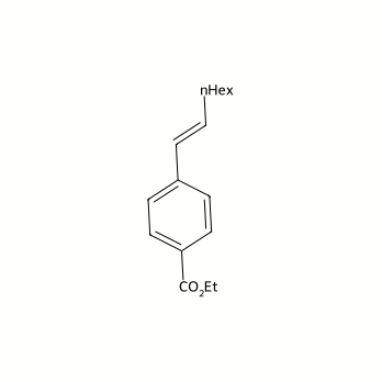 CCCCCCC=Cc1ccc(C(=O)OCC)cc1